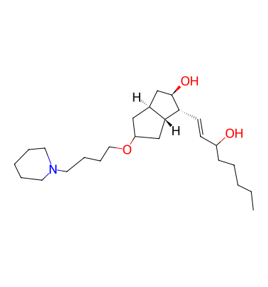 CCCCCC(O)C=C[C@@H]1[C@@H]2CC(OCCCCN3CCCCC3)C[C@H]2C[C@H]1O